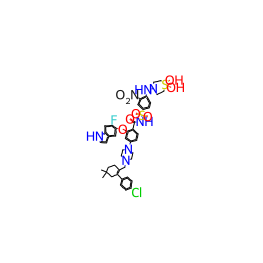 CC1(C)CCC(CN2CCN(c3ccc(C(=O)NS(=O)(=O)c4ccc(NN5CCS(O)(O)CC5)c([N+](=O)[O-])c4)c(Oc4cc5cc[nH]c5cc4F)c3)CC2)=C(c2ccc(Cl)cc2)C1